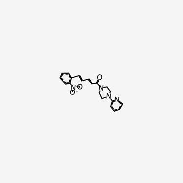 O=C(C=CC=Cc1ccccc1[N+](=O)[O-])N1CCN(c2ccccn2)CC1